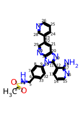 CS(=O)(=O)NCc1ccc(-n2c(-c3cccnc3N)nc3cc(-c4cccnc4)cnc32)cc1